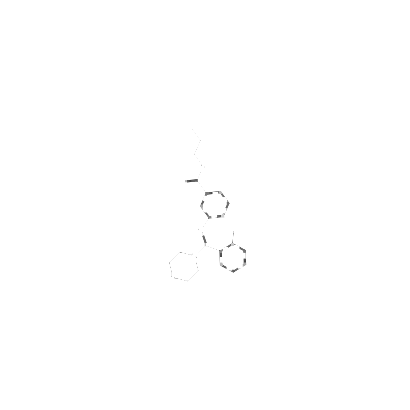 CCCNC(=O)c1ccc2c(c1)N=C(N1CCNCC1)c1ccccc1S2